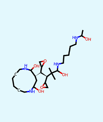 CC(O)NCCCCCNC(O)C(C)(C)[C@@H](C1CO1)C(C1CO1)[C@@H]1CC(O)NCCCCCCNC1O